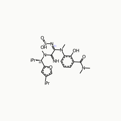 CC(C)c1coc([C@@H](C(C)C)N(C)C(=N)/C(=N\[SH](=O)=O)N(C)c2cccc(C(=O)N(C)C)c2O)c1